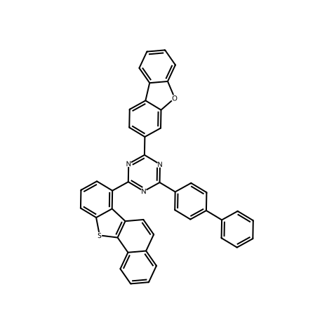 c1ccc(-c2ccc(-c3nc(-c4ccc5c(c4)oc4ccccc45)nc(-c4cccc5sc6c7ccccc7ccc6c45)n3)cc2)cc1